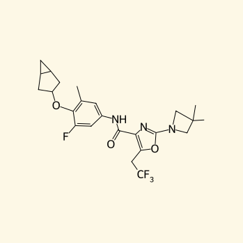 Cc1cc(NC(=O)c2nc(N3CC(C)(C)C3)oc2CC(F)(F)F)cc(F)c1OC1CC2CC2C1